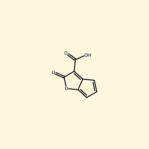 O=C(O)C1=C2C=CC=C2OC1=O